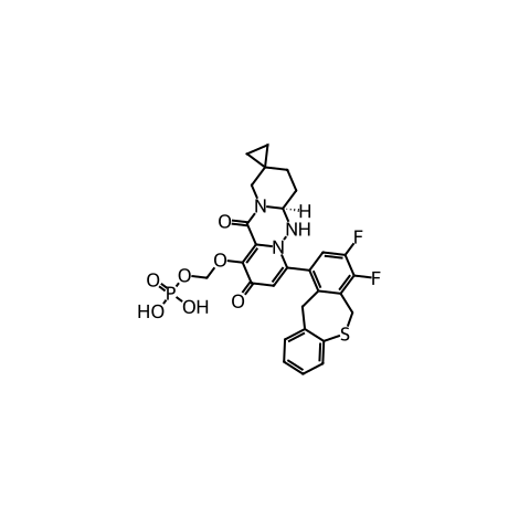 O=C1c2c(OCOP(=O)(O)O)c(=O)cc(-c3cc(F)c(F)c4c3Cc3ccccc3SC4)n2N[C@@H]2CCC3(CC3)CN12